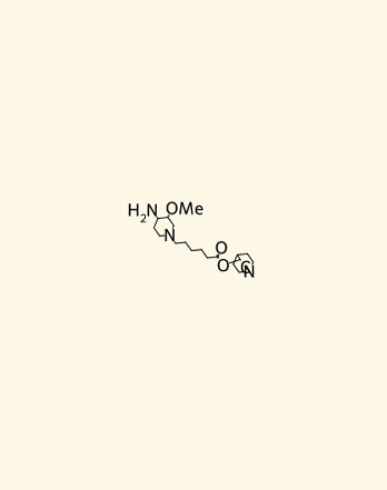 CO[C@H]1CN(CCCCCC(=O)OC2CN3CCC2CC3)CC[C@H]1N